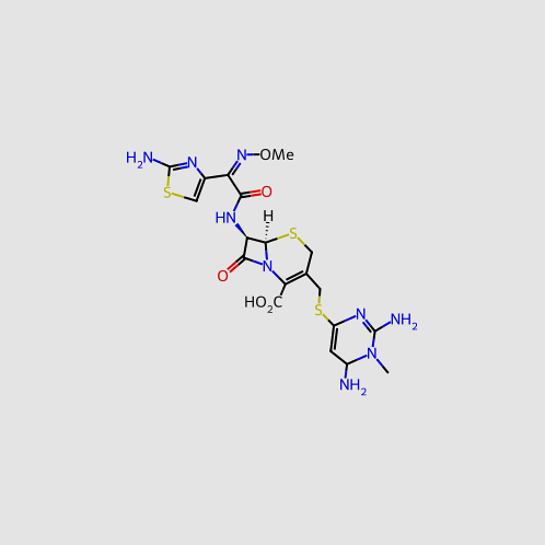 CO/N=C(\C(=O)N[C@@H]1C(=O)N2C(C(=O)O)=C(CSC3=CC(N)N(C)C(N)=N3)CS[C@H]12)c1csc(N)n1